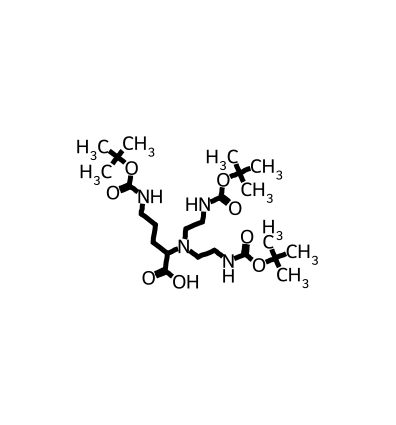 CC(C)(C)OC(=O)NCCCC(C(=O)O)N(CCNC(=O)OC(C)(C)C)CCNC(=O)OC(C)(C)C